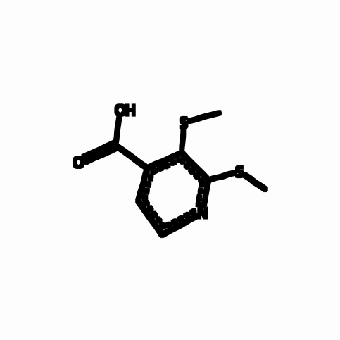 CSc1nccc(C(=O)O)c1SC